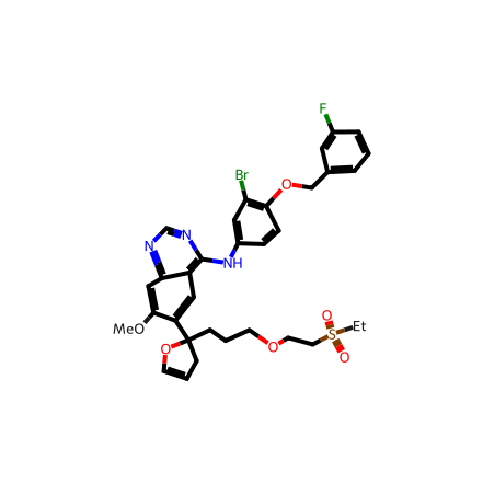 CCS(=O)(=O)CCOCCCC1(c2cc3c(Nc4ccc(OCc5cccc(F)c5)c(Br)c4)ncnc3cc2OC)CC=CO1